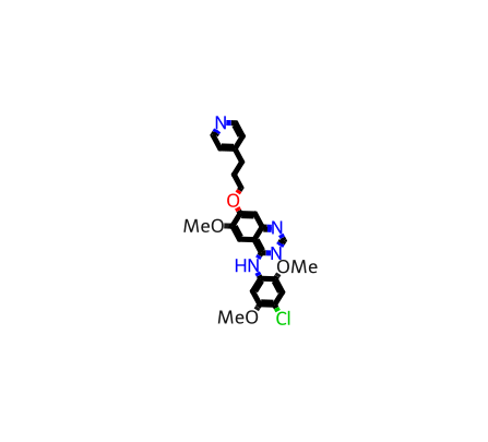 COc1cc(Nc2ncnc3cc(OCCCc4ccncc4)c(OC)cc23)c(OC)cc1Cl